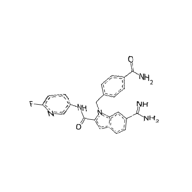 N=C(N)c1ccc2cc(C(=O)Nc3ccc(F)nc3)n(Cc3ccc(C(N)=O)cc3)c2c1